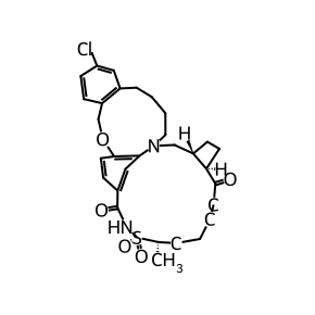 C[C@H]1CCCCC(=O)[C@@H]2CC[C@H]2CN2CCCCc3cc(Cl)ccc3COc3ccc(cc32)C(=O)NS1(=O)=O